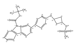 CC(C)(C)OC(=O)n1c2ccncc2c2ccc(-c3ccc(OC4CC(OS(C)(=O)=O)C4)nc3)cc21